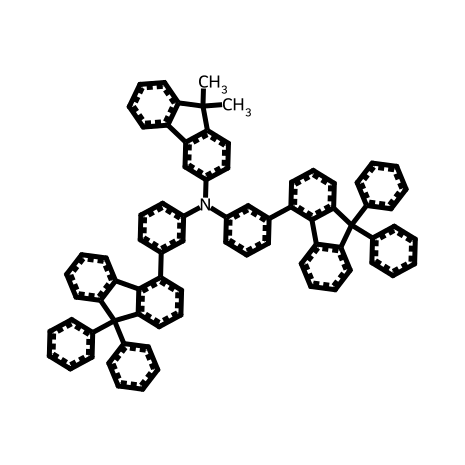 CC1(C)c2ccccc2-c2cc(N(c3cccc(-c4cccc5c4-c4ccccc4C5(c4ccccc4)c4ccccc4)c3)c3cccc(-c4cccc5c4-c4ccccc4C5(c4ccccc4)c4ccccc4)c3)ccc21